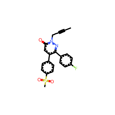 CC#CCn1nc(-c2ccc(F)cc2)c(-c2ccc(S(C)(=O)=O)cc2)cc1=O